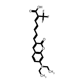 CCN(CC)c1ccc2cc(C=CC=CC=C(C(=O)O)C(F)(F)F)c(=O)oc2c1